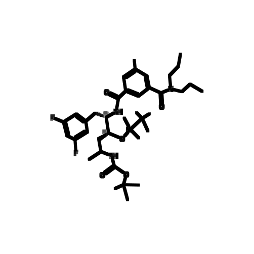 CCCN(CCC)C(=O)c1cc(C)cc(C(=O)N[C@@H](Cc2cc(F)cc(F)c2)[C@H](CC(C)NC(=O)OC(C)(C)C)O[Si](C)(C)C(C)(C)C)c1